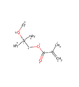 C=C(C)C(=O)OC[Si](CCC)(CCC)OCC